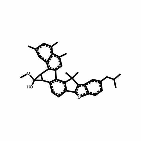 COC1(O)C2c3ccc4c(c3-c3cc(C)c5c(C)cc(C)cc5c3C21)C(C)(C)c1c-4oc2ccc(CC(C)C)cc12